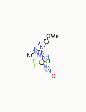 COc1ccc(CN(c2nc(Nc3cc(C(F)F)cc(N4CCN(C5COC5)CC4)c3Cl)nn3c(C#N)cnc23)C2CC2)cc1